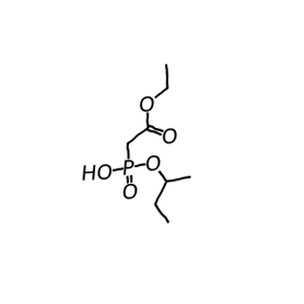 CCOC(=O)CP(=O)(O)OC(C)CC